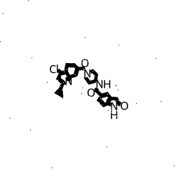 O=C1Cc2cc(C(=O)NC3CCN(C(=O)c4ccc5c(Cl)cc(C6CC6)nc5c4)CC3)ccc2N1